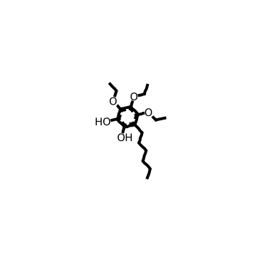 CCCCCCc1c(O)c(O)c(OCC)c(OCC)c1OCC